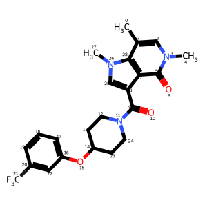 Cc1cn(C)c(=O)c2c(C(=O)N3CCC(Oc4cccc(C(F)(F)F)c4)CC3)cn(C)c12